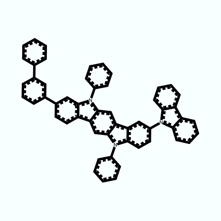 c1ccc(-c2cccc(-c3ccc4c5cc6c(cc5n(-c5ccccc5)c4c3)c3cc(-n4c5ccccc5c5ccccc54)ccc3n6-c3ccccc3)c2)cc1